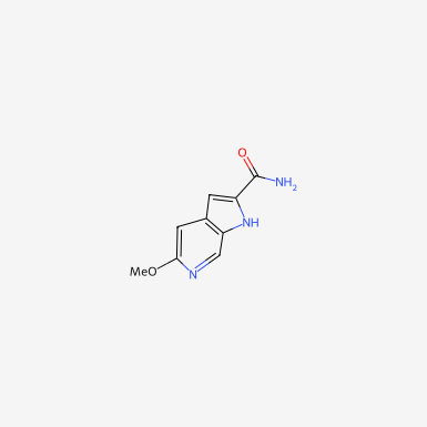 COc1cc2cc(C(N)=O)[nH]c2cn1